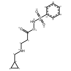 O=C(CCNCC1CC1)ONS(=O)(=O)c1ccccc1